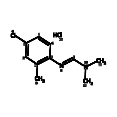 Cc1cc(Cl)ccc1N=CN(C)C.Cl